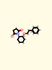 O=C1CCC(=O)N1[C@@H]1CCCC[C@@H]1OCCc1ccccc1